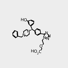 O=C(O)COCCn1nnnc1-c1ccc([C@H](c2cccc(O)c2)N2CCN(Cc3ccccc3)CC2)cc1